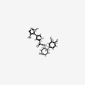 Cn1ncc(Br)c1-c1csc(C(=O)N[C@H]2CNCC[C@@H]2c2ccc(F)c(F)c2)c1